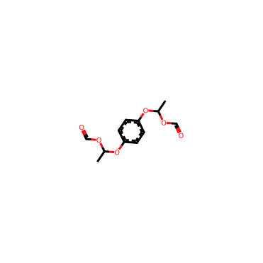 CC(OC=O)Oc1ccc(OC(C)OC=O)cc1